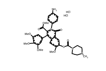 COC(=O)c1c(-c2cc(OC)c(OC)c(OC)c2)c2cc(OC)c(OC(=O)N3CCN(C)CC3)cc2c(=O)n1-c1ccc(N)cc1.Cl.Cl